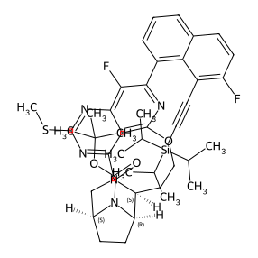 CSc1nc2c3c(nc(-c4cccc5ccc(F)c(C#C[Si](C(C)C)(C(C)C)C(C)C)c45)c(F)c3n1)OCC[C@H]1[C@H]3CC[C@@H](CN21)N3C(=O)OC(C)(C)C